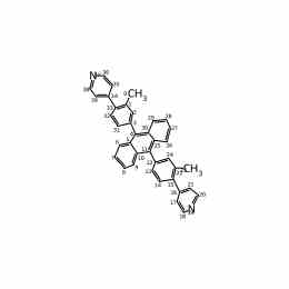 Cc1cc(-c2c3ccccc3c(-c3ccc(-c4ccncc4)c(C)c3)c3ccccc23)ccc1-c1ccncc1